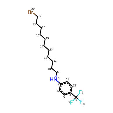 FC(F)(F)c1ccc(NCCCCCCCCCCCBr)cc1